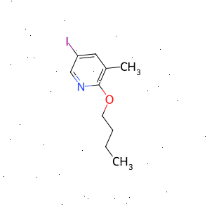 CCCCOc1ncc(I)cc1C